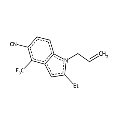 [C-]#[N+]c1ccc2c(cc(CC)n2CC=C)c1C(F)(F)F